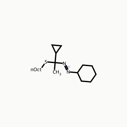 CCCCCCCCSC(C)(/N=N/C1CCCCC1)C1CC1